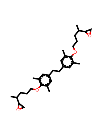 Cc1cc(CCc2cc(C)c(OCCCC(C)C3CO3)c(C)c2)cc(C)c1OCCCC(C)C1CO1